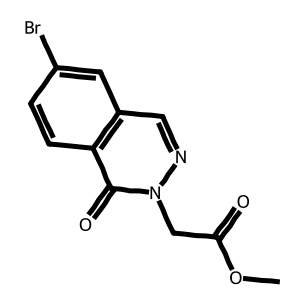 COC(=O)Cn1ncc2cc(Br)ccc2c1=O